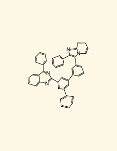 c1ccc(-c2cc(-c3cccc(-c4c(-c5ccccc5)nc5ccccn45)c3)cc(-c3nc(-c4ccccc4)c4ccccc4n3)c2)cc1